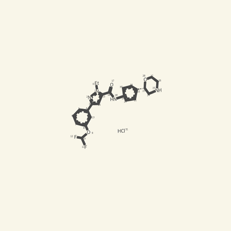 CCn1nc(-c2cccc(OC(F)F)c2)cc1C(=O)Nc1ccc([C@H]2CNCCO2)cc1.Cl